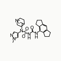 Cn1cc(N(C2CN3CCC2CC3)S(=O)(=O)NC(=O)Nc2c3c(cc4c2CCC4)CCC3)cn1